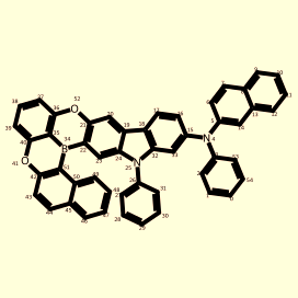 c1ccc(N(c2ccc3ccccc3c2)c2ccc3c4cc5c(cc4n(-c4ccccc4)c3c2)B2c3c(cccc3Oc3ccc4ccccc4c32)O5)cc1